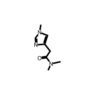 CN(C)C(=O)Cc1cn(C)cn1